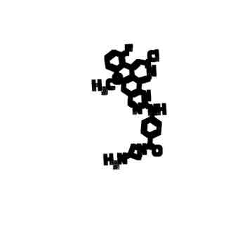 COc1cccc(F)c1C1=CC(Cl)=NC=C2C1=CCc1cnc(Nc3ccc(C(=O)N4CC(N)C4)cc3)nc12